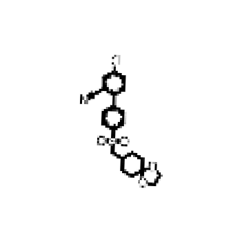 N#Cc1cc(Cl)ccc1-c1ccc(S(=O)(=O)CC2CCC3(CC2)OCCO3)cc1